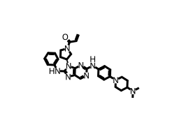 C=CC(=O)N1CC[C@H](n2c(Nc3ccccc3)nc3cnc(Nc4ccc(N5CCC(N(C)C)CC5)cc4)nc32)C1